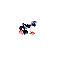 O=C(O)C(F)(F)F.Oc1cccc(-c2c(-c3ccncc3)nn3c(-c4ccc(N5C[C@@H]6C[C@H]5CN6)cc4)ccnc23)c1